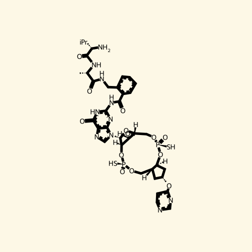 CC(C)[C@H](N)C(=O)N[C@@H](C)C(=O)NCc1ccccc1C(=O)Nc1nc2c(ncn2[C@@H]2O[C@@H]3CO[P@@](=O)(S)O[C@H]4C[C@H](Oc5ccncn5)C[C@@H]4CO[P@@](=O)(S)O[C@@H]2[C@@H]3O)c(=O)[nH]1